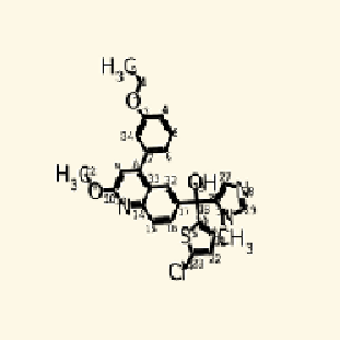 CCOc1cccc(-c2cc(OC)nc3ccc(C(O)(c4ccc(Cl)s4)c4cncn4C)cc23)c1